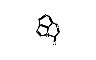 O=c1cnc2cccc3ccn1c32